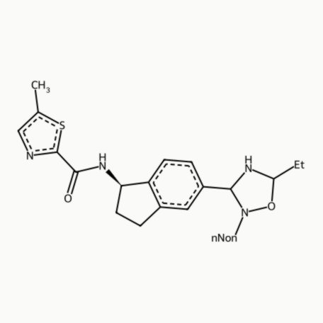 CCCCCCCCCN1OC(CC)NC1c1ccc2c(c1)CC[C@H]2NC(=O)c1ncc(C)s1